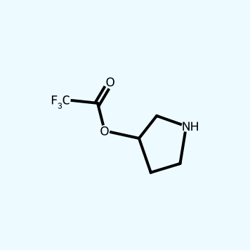 O=C(OC1CCNC1)C(F)(F)F